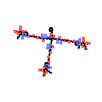 CCC[C@H]1O[C@H](COC)[C@H](O)[C@H](O)[C@H]1Nc1nccc(OCCOCCOCCNC(=O)NCCCC(CCCNC(=O)NCCOCCOCCOc2ccnc(N[C@@H]3[C@@H](O)[C@@H](O)[C@@H](COC)O[C@@H]3CCC)n2)(CCCNC(=O)NCCOCCOCCOc2ccnc(N[C@@H]3[C@@H](O)[C@@H](O)[C@@H](COC)O[C@@H]3CCC)n2)NC(=O)OCc2ccccc2)n1